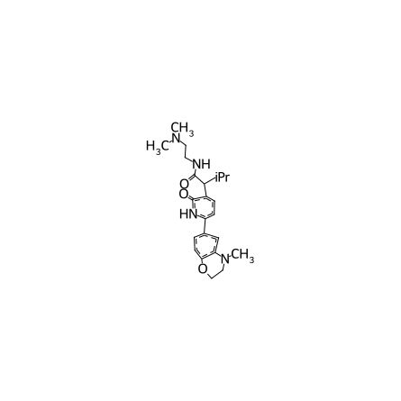 CC(C)C(C(=O)NCCN(C)C)c1ccc(-c2ccc3c(c2)N(C)CCO3)[nH]c1=O